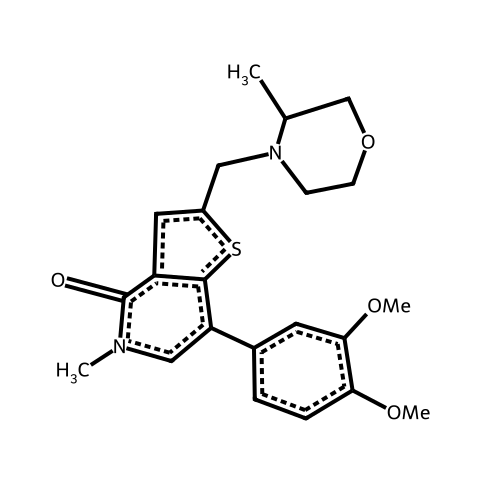 COc1ccc(-c2cn(C)c(=O)c3cc(CN4CCOCC4C)sc23)cc1OC